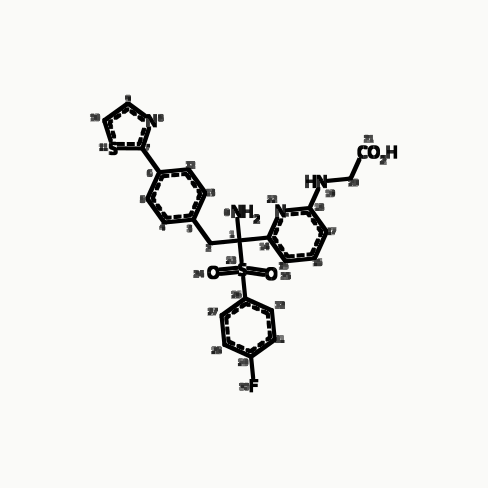 NC(Cc1ccc(-c2nccs2)cc1)(c1cccc(NCC(=O)O)n1)S(=O)(=O)c1ccc(F)cc1